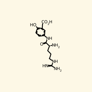 N=C(N)NCCC[C@H](N)C(=O)Nc1ccc(O)c(C(=O)O)c1